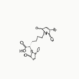 O=C(O)[C@H](CCCCN1C(=O)C=C(Br)C1=O)N1C(=O)C=CC1=O